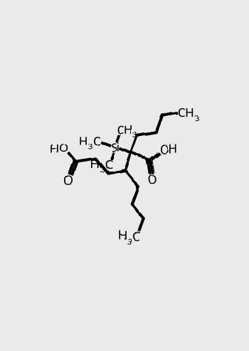 CCCCC(CCC(=O)O)C(CCCC)(C(=O)O)[Si](C)(C)C